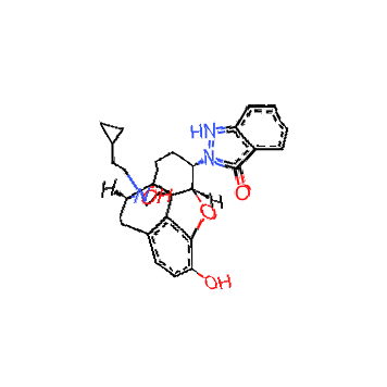 O=c1c2ccccc2[nH]n1[C@@H]1CC[C@@]2(O)[C@H]3Cc4ccc(O)c5c4[C@@]2(CCN3CC2CC2)[C@H]1O5